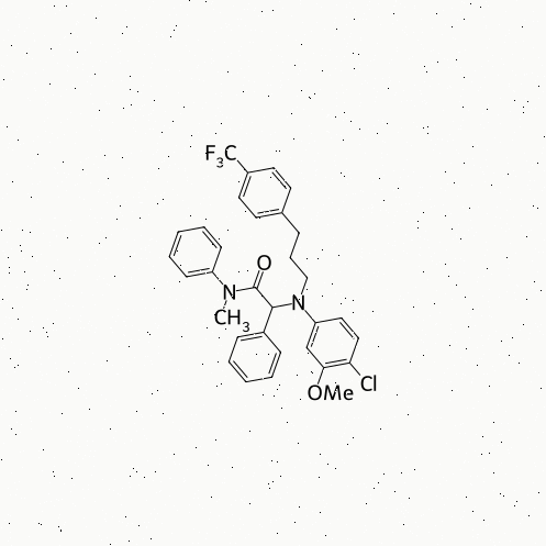 COc1cc(N(CCCc2ccc(C(F)(F)F)cc2)C(C(=O)N(C)c2ccccc2)c2ccccc2)ccc1Cl